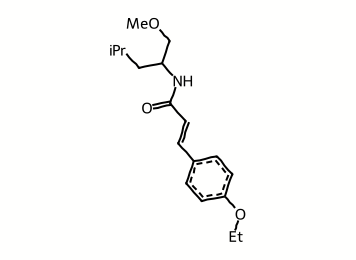 CCOc1ccc(/C=C/C(=O)NC(COC)CC(C)C)cc1